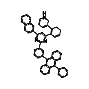 C1=CNCC(C2=C(c3cc(-c4ccc5ccccc5c4)nc(-c4cccc(-c5c6ccccc6c(-c6ccccc6)c6ccccc56)c4)n3)C=CCC2)=C1